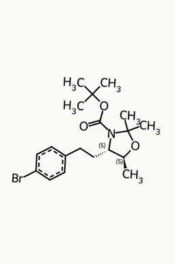 C[C@@H]1OC(C)(C)N(C(=O)OC(C)(C)C)[C@H]1CCc1ccc(Br)cc1